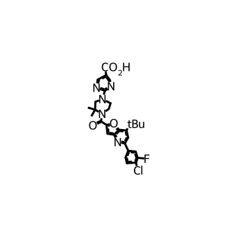 CC(C)(C)c1cc(-c2ccc(Cl)c(F)c2)nc2cc(C(=O)N3CCN(c4ncc(C(=O)O)cn4)CC3(C)C)oc12